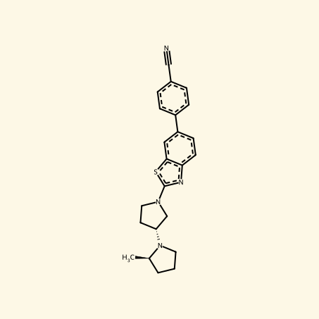 C[C@@H]1CCCN1[C@@H]1CCN(c2nc3ccc(-c4ccc(C#N)cc4)cc3s2)C1